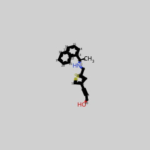 C[C@@H](NCc1cc(C#CCO)cs1)c1cccc2ccccc12